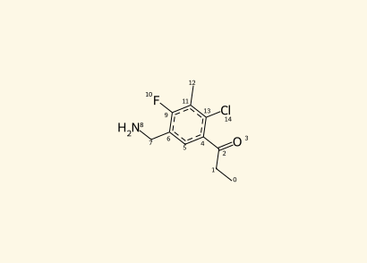 CCC(=O)c1cc(CN)c(F)c(C)c1Cl